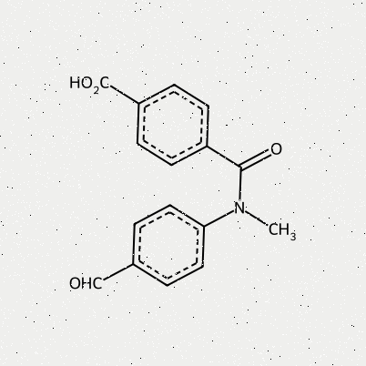 CN(C(=O)c1ccc(C(=O)O)cc1)c1ccc(C=O)cc1